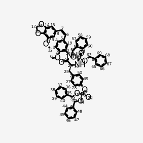 COc1ccc(/C=C\c2cc(OC)c3c(c2)OCO3)cc1NC(=O)[C@H](Cc1ccc(OP(=O)(OCc2ccccc2)OCc2ccccc2)cc1)NP(=O)(OCc1ccccc1)OCc1ccccc1